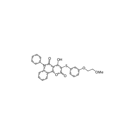 COCCOc1cccc(Sc2c(O)c3c(=O)n(-c4ccccc4)c4ccccc4c3oc2=O)c1